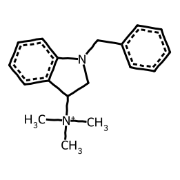 C[N+](C)(C)C1CN(Cc2ccccc2)c2ccccc21